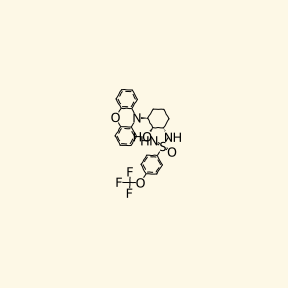 N=S(=O)(N[C@H]1CCC[C@H](N2c3ccccc3Oc3ccccc32)[C@@H]1O)c1ccc(OC(F)(F)F)cc1